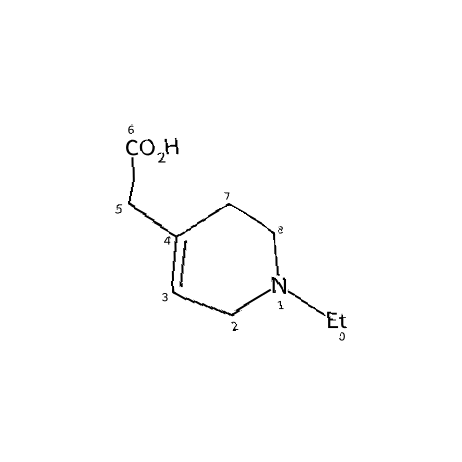 CCN1CC=C(CC(=O)O)CC1